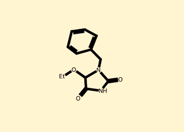 CCO[C]1C(=O)NC(=O)N1Cc1ccccc1